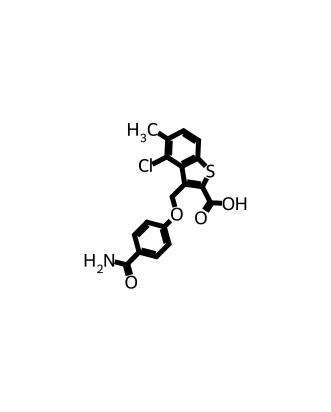 Cc1ccc2sc(C(=O)O)c(COc3ccc(C(N)=O)cc3)c2c1Cl